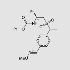 CO/N=C/c1ccc(C(C)S(=O)(=O)C[C@@H](NC(=O)OC(C)C)C(C)C)cc1